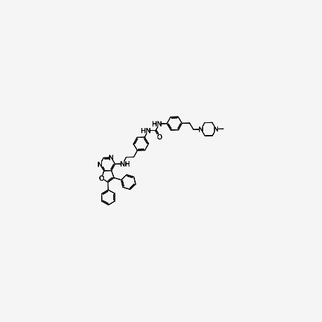 CN1CCN(CCc2ccc(NC(=O)Nc3ccc(CCNc4ncnc5oc(-c6ccccc6)c(-c6ccccc6)c45)cc3)cc2)CC1